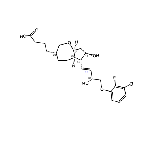 O=C(O)CCC[C@H]1CC[C@@H]2[C@@H](/C=C/[C@@H](O)COc3cccc(Cl)c3F)[C@H](O)C[C@@H]2OC1